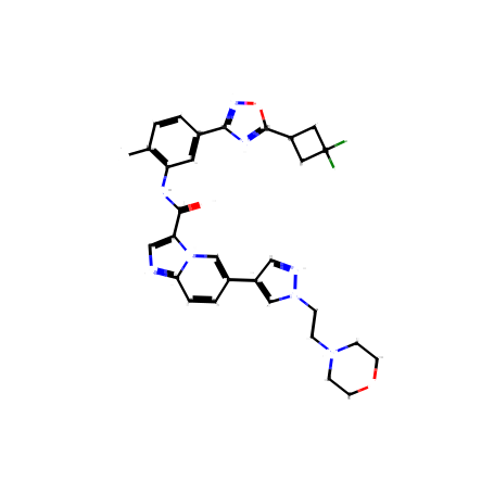 Cc1ccc(-c2noc(C3CC(F)(F)C3)n2)cc1NC(=O)c1cnc2ccc(-c3cnn(CCN4CCOCC4)c3)cn12